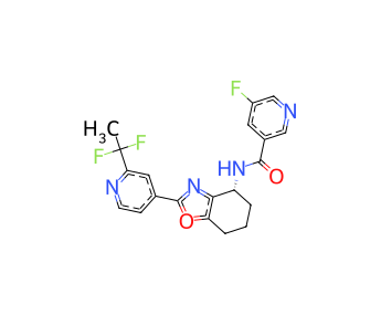 CC(F)(F)c1cc(-c2nc3c(o2)CCC[C@H]3NC(=O)c2cncc(F)c2)ccn1